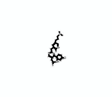 CN(C)CCCc1cnc(F)c(Cc2ncc3c(n2)-c2ccc(Cl)cc2NC(=S)C3)c1